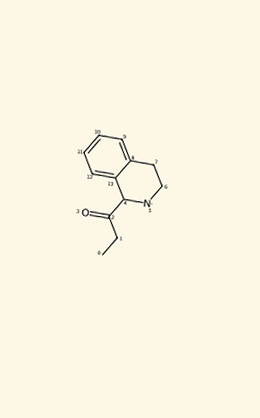 CCC(=O)C1[N]CCc2ccccc21